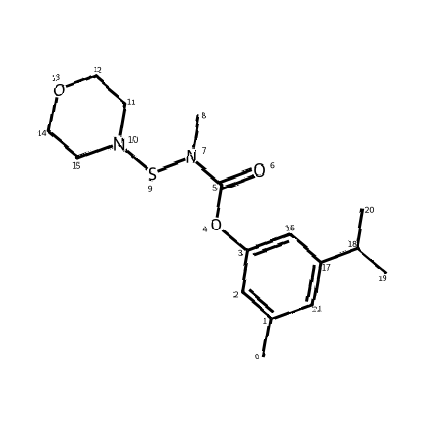 Cc1cc(OC(=O)N(C)SN2CCOCC2)cc(C(C)C)c1